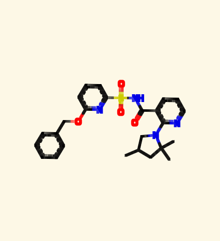 CC1CN(c2ncccc2C(=O)NS(=O)(=O)c2cccc(OCc3ccccc3)n2)C(C)(C)C1